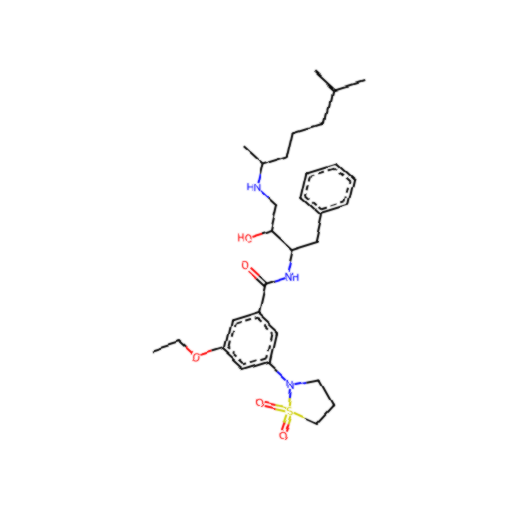 CCOc1cc(C(=O)NC(Cc2ccccc2)C(O)CNC(C)CCCC(C)C)cc(N2CCCS2(=O)=O)c1